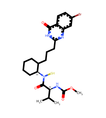 COC(=O)N[C@H](C(=O)N(S)[C@H]1CCCCC1CCCc1nc2cc(Br)ccc2c(=O)[nH]1)C(C)C